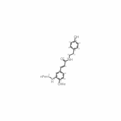 CCCCCNc1cc(C=CC(=O)NCCc2ccc(O)cc2)ccc1OC